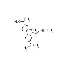 CCCCCCC1C=C(C(C)C)CCC1C1=C(C)CC(C(C)C)CC1